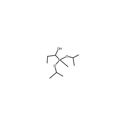 CCC(O)[Si](C)(OC(C)C)OC(C)C